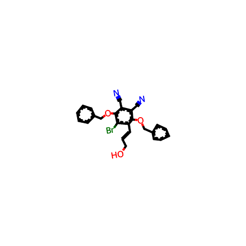 N#Cc1c(C#N)c(OCc2ccccc2)c(/C=C/CO)c(Br)c1OCc1ccccc1